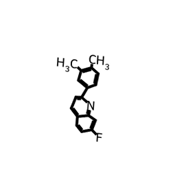 Cc1ccc(-c2ccc3ccc(F)cc3n2)cc1C